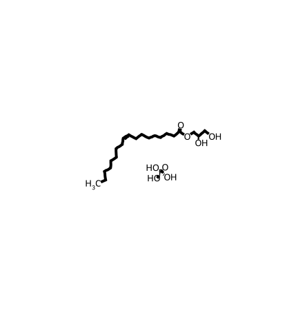 CCCCCCCC/C=C\CCCCCCCC(=O)OC[C@H](O)CO.O=P(O)(O)O